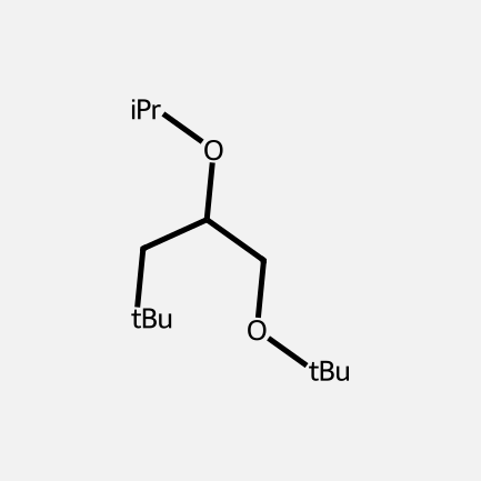 CC(C)OC(COC(C)(C)C)CC(C)(C)C